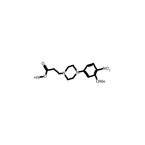 COc1cc(N2CCN(CCC(=O)OS)CC2)ccc1[N+](=O)[O-]